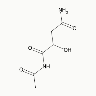 CC(=O)NC(=O)C(O)CC(N)=O